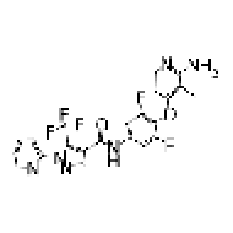 Nc1nccc(Oc2c(F)cc(NC(=O)c3cnn(-c4ccccn4)c3C(F)(F)F)cc2F)c1I